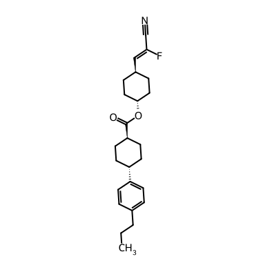 CCCc1ccc([C@H]2CC[C@H](C(=O)O[C@H]3CC[C@H](C=C(F)C#N)CC3)CC2)cc1